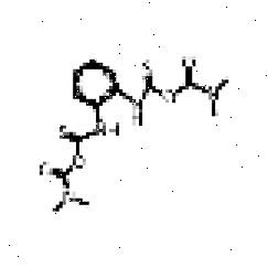 CN(C)C(=O)OC(=S)Nc1ccccc1NC(=S)OC(=O)N(C)C